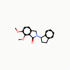 COc1ccc2c(c1OC)C(=O)N([C@@H]1CCc3ccccc31)C2